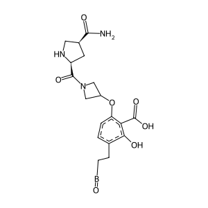 NC(=O)[C@@H]1CN[C@H](C(=O)N2CC(Oc3ccc(CCB=O)c(O)c3C(=O)O)C2)C1